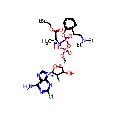 CCN(CC)CCc1ccccc1OP(=O)(N[C@@H](C)C(=O)OCC(C)(C)C)OP(=O)(O)OC[C@H]1O[C@@H](n2cnc3c(N)nc(Cl)nc32)C(F)C1O